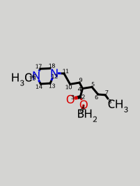 BOC(=O)C(CCCC)CCCN1CCN(C)CC1